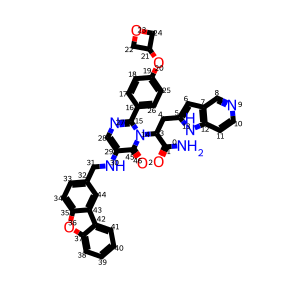 NC(=O)C(Cc1cc2cnccc2[nH]1)n1c(-c2ccc(OC3COC3)cc2)ncc(NCc2ccc3oc4ccccc4c3c2)c1=O